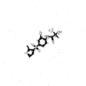 Cc1occc1S(=O)(=O)c1ccc(NC(=O)C(C)(O)C(F)(F)F)c(Cl)c1